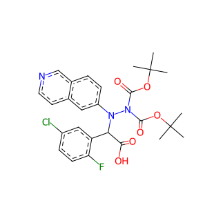 CC(C)(C)OC(=O)N(C(=O)OC(C)(C)C)N(c1ccc2cnccc2c1)C(C(=O)O)c1cc(Cl)ccc1F